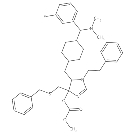 COC(=O)OC1(CSCc2ccccc2)N=CN(CCc2ccccc2)C1CC1CCC(C(c2cccc(F)c2)N(C)C)CC1